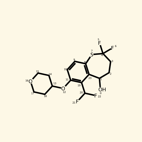 OC1CCC(F)(F)Sc2ccc(OC3CCOCC3)c(C(F)F)c21